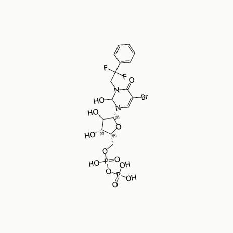 O=C1C(Br)=CN([C@@H]2O[C@H](COP(=O)(O)OP(=O)(O)O)[C@H](O)C2O)C(O)N1CC(F)(F)c1ccccc1